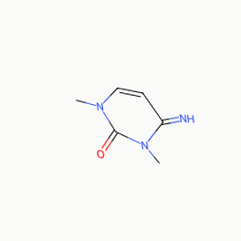 Cn1ccc(=N)n(C)c1=O